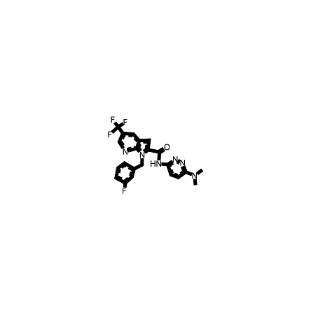 CN(C)c1ccc(NC(=O)c2cc3cc(C(F)(F)F)cnc3n2Cc2cccc(F)c2)nn1